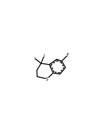 Fc1ccc2c(c1)C(I)(I)CCS2